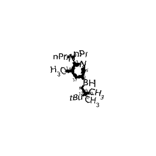 CCCN(CCC)c1ncc(BCC(C)(C)C(C)(C)C)cc1C